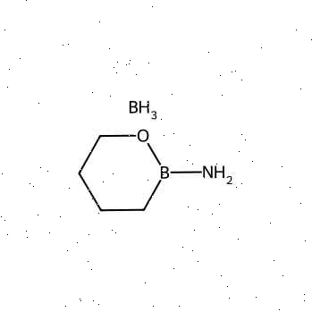 B.NB1CCCCO1